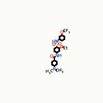 CCOc1cc(NC(=O)c2ccc(N(C)C)cc2)ccc1S(=O)(=O)Nc1cccc(OC(F)(F)F)c1